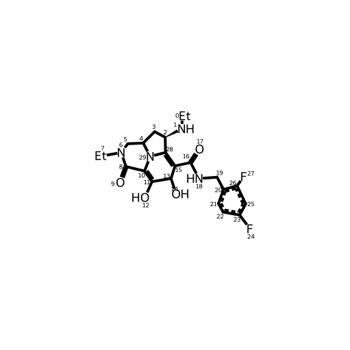 CCN[C@@H]1CC2CN(CC)C(=O)C3=C(O)C(O)C(C(=O)NCc4ccc(F)cc4F)=C1N32